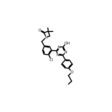 CCCOc1ccc(-c2nc(O)nc(-c3cc(CN4CC(C)(C)C4=O)ccc3Cl)n2)cc1